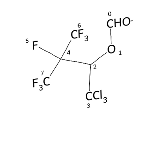 O=[C]OC(C(Cl)(Cl)Cl)C(F)(C(F)(F)F)C(F)(F)F